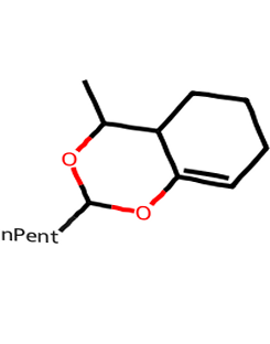 CCCCCC1OC2=CCCCC2C(C)O1